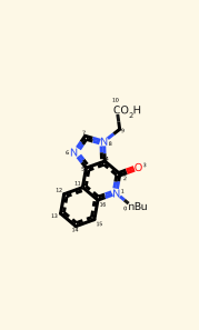 CCCCn1c(=O)c2c(ncn2CC(=O)O)c2ccccc21